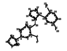 CCc1cc(-c2nccs2)nnc1Cn1ccnc1-c1cc(F)ccc1F